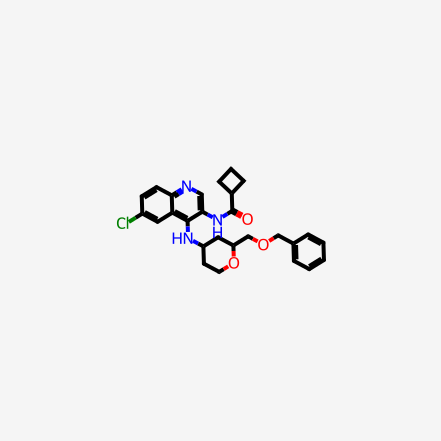 O=C(Nc1cnc2ccc(Cl)cc2c1NC1CCOC(COCc2ccccc2)C1)C1CCC1